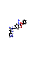 O=C(N[C@H]1CC[C@H](CNc2nc(-c3cccnc3)cs2)CC1)OCc1ccccc1